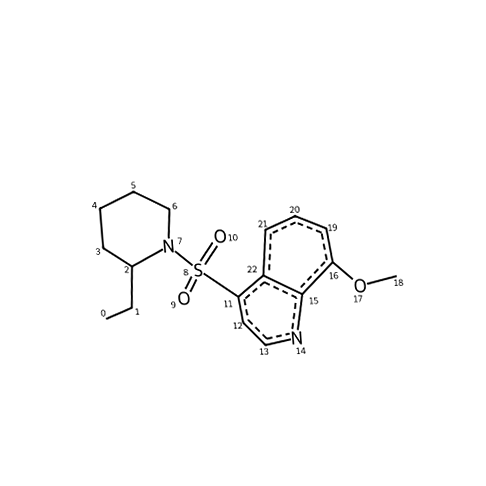 CCC1CCCCN1S(=O)(=O)c1ccnc2c(OC)cccc12